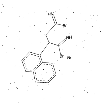 N=C(Br)CC(C(=N)Br)c1cccc2ccccc12.[Ni]